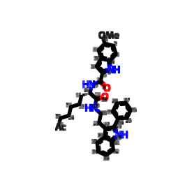 COc1ccc2[nH]c(C(=O)N[C@@H](CCCCCC(C)=O)C(=O)NCCc3c(-c4ccccc4)[nH]c4ccccc34)cc2c1